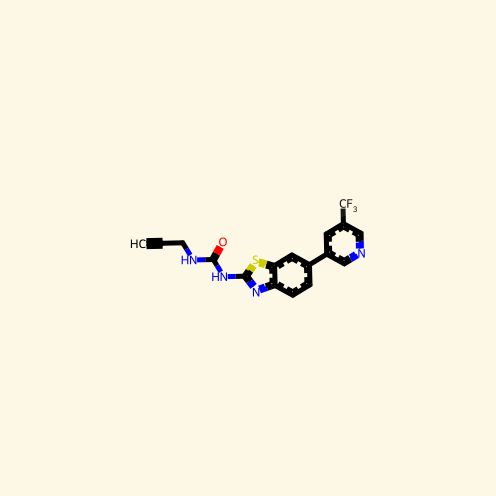 C#CCNC(=O)Nc1nc2ccc(-c3cncc(C(F)(F)F)c3)cc2s1